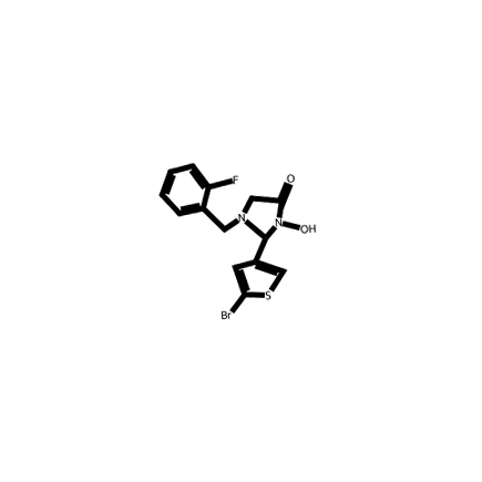 O=C1CN(Cc2ccccc2F)C(c2csc(Br)c2)N1O